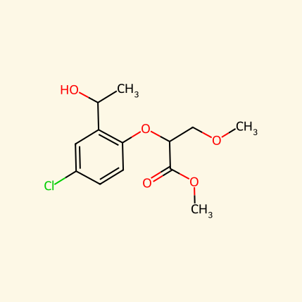 COCC(Oc1ccc(Cl)cc1C(C)O)C(=O)OC